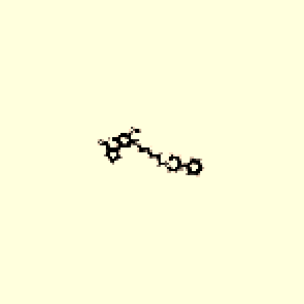 COc1cc2oc(=O)c3c(c2cc1OCCCCCN1CCC(c2ccccc2)CC1)CCC3